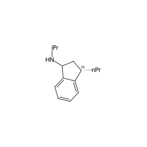 CCC[C@H]1CC(NC(C)C)c2ccccc21